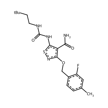 Cc1ccc(COc2nsc(NC(=O)NCCC(C)(C)C)c2C(N)=O)c(F)c1